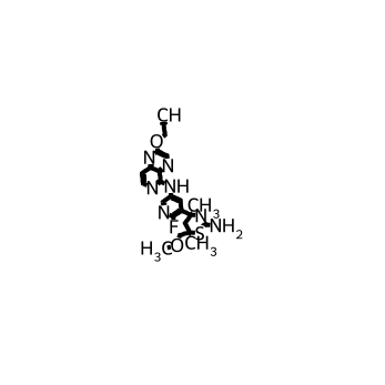 C#CCOc1cnc2c(Nc3cnc(F)c([C@]4(C)C[C@](C)(COC)SC(N)=N4)c3)nccc2n1